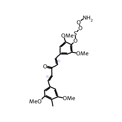 COc1cc(/C=C/C(=O)/C=C/c2cc(OC)c(OSOON)c(OC)c2)cc(OC)c1C